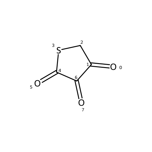 O=C1CSC(=O)C1=O